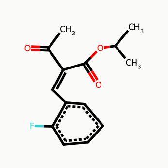 CC(=O)C(=Cc1ccccc1F)C(=O)OC(C)C